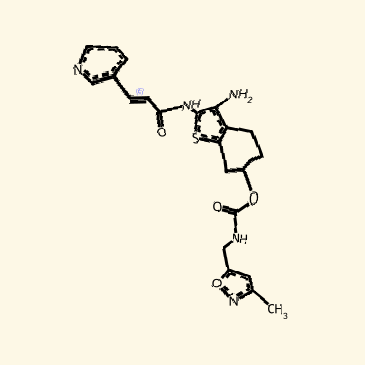 Cc1cc(CNC(=O)OC2CCc3c(sc(NC(=O)/C=C/c4cccnc4)c3N)C2)on1